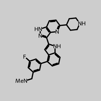 CNCc1cc(F)cc(-c2cccc3[nH]c(-c4n[nH]c5ccc(C6CCNCC6)nc45)cc23)c1